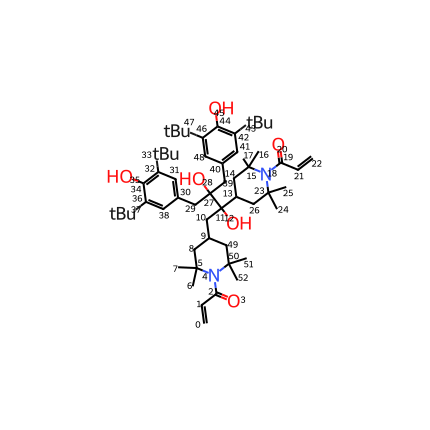 C=CC(=O)N1C(C)(C)CC(CC(O)(C2CC(C)(C)N(C(=O)C=C)C(C)(C)C2)C(O)(Cc2cc(C(C)(C)C)c(O)c(C(C)(C)C)c2)Cc2cc(C(C)(C)C)c(O)c(C(C)(C)C)c2)CC1(C)C